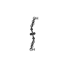 OCCCOCCOCCOCCc1ccc(C#Cc2c3ccccc3c(C#Cc3ccc(CCOCCOCCOCCCO)cc3)c3ccccc23)cc1